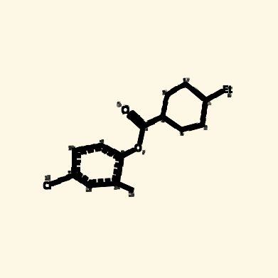 CCC1CCC(C(=O)Oc2ccc(Cl)cc2C)CC1